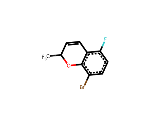 Fc1ccc(Br)c2c1C=CC(C(F)(F)F)O2